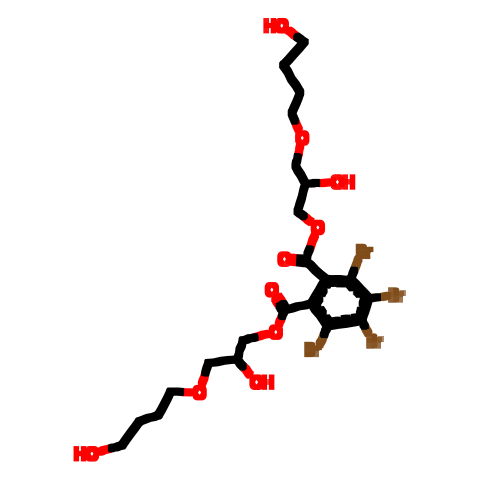 O=C(OCC(O)COCCCCO)c1c(Br)c(Br)c(Br)c(Br)c1C(=O)OCC(O)COCCCCO